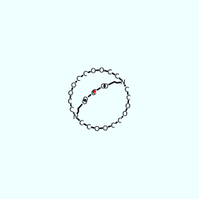 C1COOCCN2CCOOCCOOCCN(CCOO1)CCOOCCOOCC2